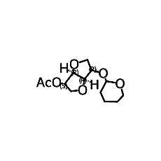 CC(=O)O[C@H]1CO[C@H]2[C@@H]1OC[C@H]2OC1CCCCO1